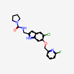 O=C(NCc1cc2cc(Cl)c(OCc3cccc(F)n3)cc2[nH]1)N1CCCC1